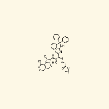 CC(C)(C)OC(=O)CO/N=C(\C(=O)N[C@@H]1C(=O)N2C(C(=O)O)=C(CBr)CS[C@H]12)c1csc(NC(c2ccccc2)(c2ccccc2)c2ccccc2)n1